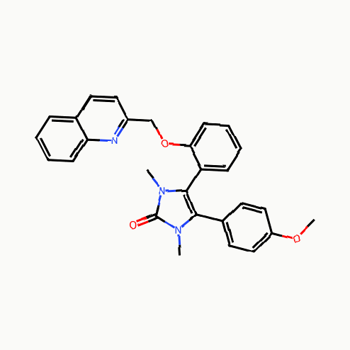 COc1ccc(-c2c(-c3ccccc3OCc3ccc4ccccc4n3)n(C)c(=O)n2C)cc1